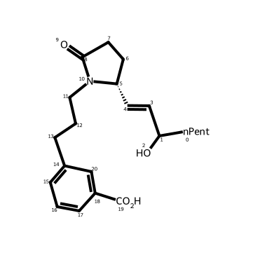 CCCCCC(O)C=C[C@H]1CCC(=O)N1CCCc1cccc(C(=O)O)c1